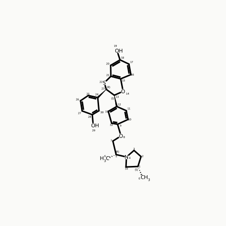 C[C@H]1CCN([C@H](C)COc2ccc([C@@H]3Oc4ccc(O)cc4S[C@@H]3c3cccc(O)c3)cc2)C1